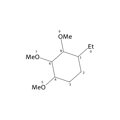 [CH2]CC1CCC(OC)C(OC)C1OC